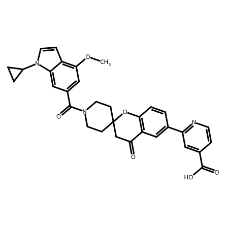 COc1cc(C(=O)N2CCC3(CC2)CC(=O)c2cc(-c4cc(C(=O)O)ccn4)ccc2O3)cc2c1ccn2C1CC1